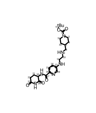 CC(C)(C)OC(=O)N1CCC(CNCCNc2ccc(C(=O)NC3CCC(=O)NC3=O)nc2)CC1